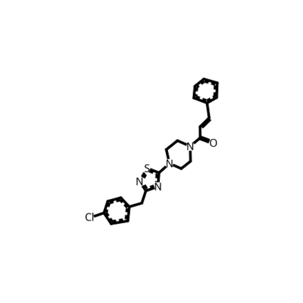 O=C(C=Cc1ccccc1)N1CCN(c2nc(Cc3ccc(Cl)cc3)ns2)CC1